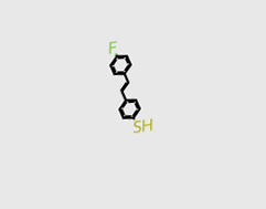 Fc1ccc(/C=C/c2ccc(S)cc2)cc1